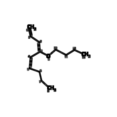 C=C/C=C(\C=C/CCC)OCCCC